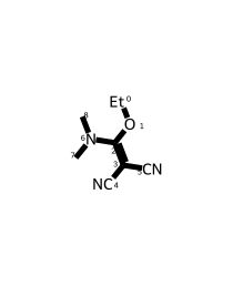 CCOC(=C(C#N)C#N)N(C)C